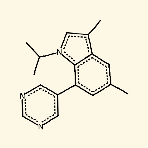 Cc1cc(-c2cncnc2)c2c(c1)c(C)cn2C(C)C